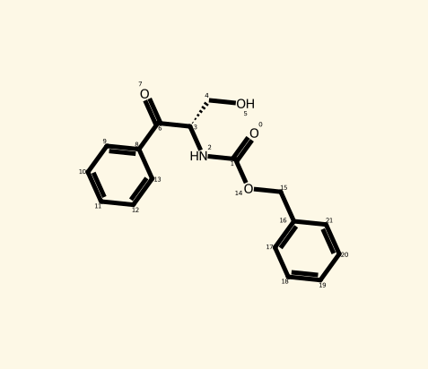 O=C(N[C@@H](CO)C(=O)c1ccccc1)OCc1ccccc1